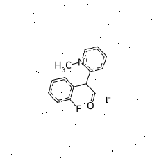 C[n+]1ccccc1C(C=O)c1ccccc1F.[I-]